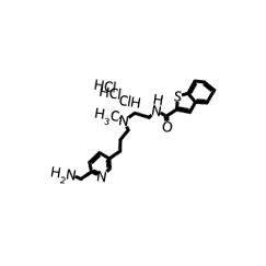 CN(CCCc1ccc(CN)nc1)CCNC(=O)c1cc2ccccc2s1.Cl.Cl.Cl